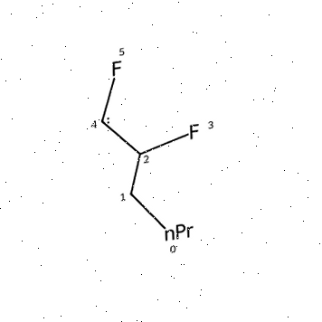 CCCCC(F)[C]F